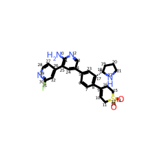 Nc1ncc(-c2ccc(C3=CCS(=O)(=O)CC3)c([C@@H]3CCCN3)c2)cc1-c1ccnc(F)c1